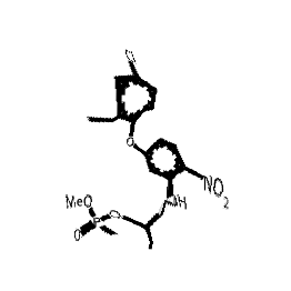 COP(C)(=O)OC(C)Nc1cc(Oc2ccc(Cl)cc2C)ccc1[N+](=O)[O-]